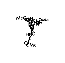 COC(=O)CCCCCNC(=O)COc1cc(C)c(S(=O)(=O)n2c(SCc3ncc(C)c(OC)c3C)nc3cc(OC)ccc32)c(C)c1